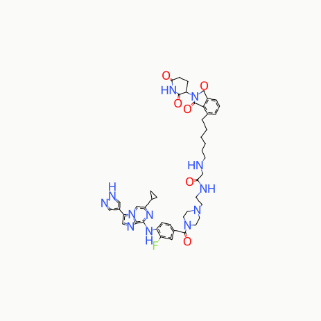 O=C(CNCCCCCCc1cccc2c1C(=O)N(C1CCC(=O)NC1=O)C2=O)NCCN1CCN(C(=O)c2ccc(Nc3nc(C4CC4)cn4c(-c5cn[nH]c5)cnc34)c(F)c2)CC1